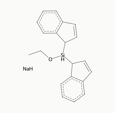 CCO[SiH](C1C=Cc2ccccc21)C1C=Cc2ccccc21.[NaH]